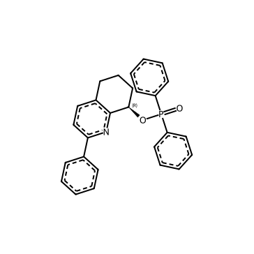 O=P(O[C@@H]1CCCc2ccc(-c3ccccc3)nc21)(c1ccccc1)c1ccccc1